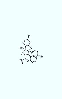 CN(C)C(=O)C12CC1C1(O)c3ncc(Cl)cc3OC1(c1ccc(Br)cc1)C2c1ccccc1